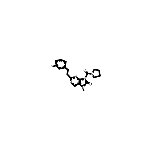 Cn1c(=O)n(C(=O)N2CCCC2)c2nc(CCc3cccc(F)c3)ncc21